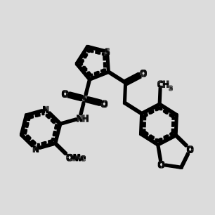 COc1nccnc1NS(=O)(=O)c1ccsc1C(=O)Cc1cc2c(cc1C)OCO2